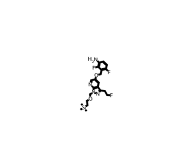 C[Si](C)(C)CCOCn1nc(CCF)c2cc(OCc3c(F)ccc(N)c3F)cnc21